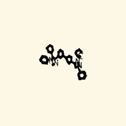 c1ccc(-c2cc(-c3ccc(-c4cccc(-c5ncn(-c6ccccc6)c5-c5ccccc5)c4)cc3)n(-c3ccccc3)n2)cc1